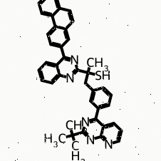 CC(C)(C)c1nc(-c2cccc(CC(C)(S)c3nc(-c4ccc5c(ccc6ccccc65)c4)c4ccccc4n3)c2)c2cccnc2n1